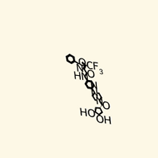 O=C(Nc1ccc(N2CCN(C(=O)[C@@H]3C[C@@H](O)[C@@H](O)C3)CC2)nc1)c1nc(-c2ccccc2)oc1C(F)(F)F